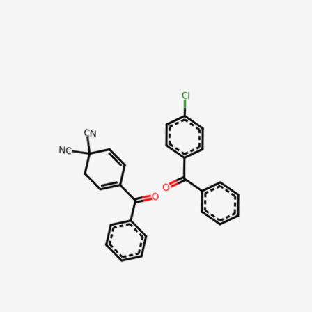 N#CC1(C#N)C=CC(C(=O)c2ccccc2)=CC1.O=C(c1ccccc1)c1ccc(Cl)cc1